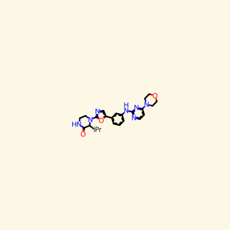 CC(C)C1C(=O)NCCN1c1ncc(-c2cccc(Nc3nccc(N4CCOCC4)n3)c2)o1